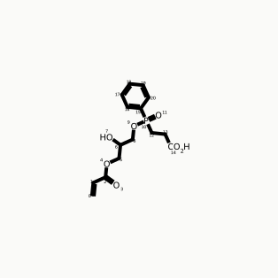 C=CC(=O)OCC(O)COP(=O)(CCC(=O)O)c1ccccc1